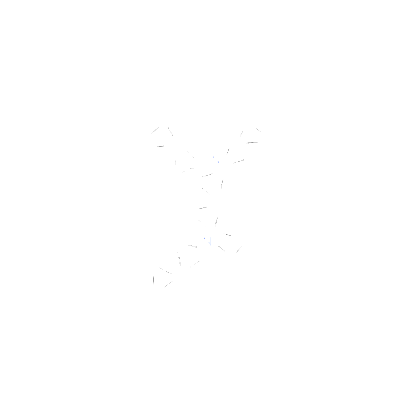 c1ccc(-c2ccc(-n3c4ccccc4c4cc(-c5ccc(Nc6ccc7ccccc7c6)c(-c6ccc7c(c6)oc6ccccc67)c5)ccc43)cc2)cc1